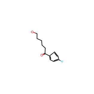 [O]CCCCCC(=O)c1ccc(F)cc1